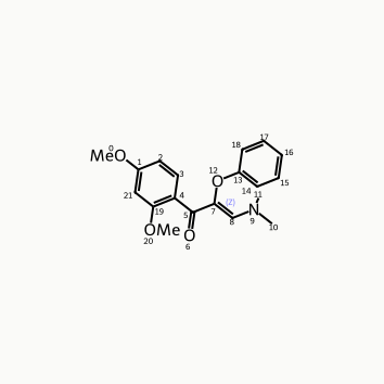 COc1ccc(C(=O)/C(=C/N(C)C)Oc2ccccc2)c(OC)c1